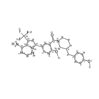 COc1ccc(CC2CCCN(C(=O)c3cc(-c4cc(C(F)(F)F)c5c(N)ncnn45)cnc3OC)C2)cc1